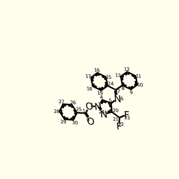 O=C(On1cc(N=C(c2ccccc2)c2ccccc2)c(C(F)F)n1)c1ccccc1